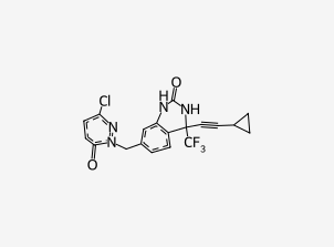 O=C1Nc2cc(Cn3nc(Cl)ccc3=O)ccc2C(C#CC2CC2)(C(F)(F)F)N1